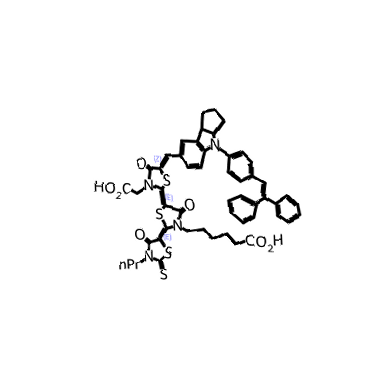 CCCN1C(=O)/C(=c2\s/c(=c3/s/c(=C\c4ccc5c(c4)C4CCCC4N5c4ccc(C=C(c5ccccc5)c5ccccc5)cc4)c(=O)n3CC(=O)O)c(=O)n2CCCCCC(=O)O)SC1=S